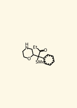 CCC(=O)C(SC)(c1ccccc1)C1CNCCO1